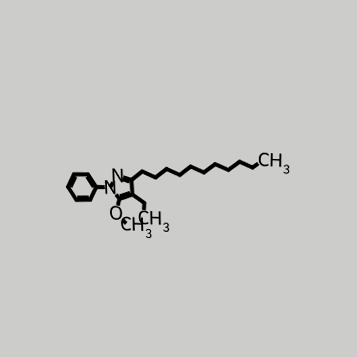 CCCCCCCCCCCc1nn(-c2ccccc2)c(OC)c1CC